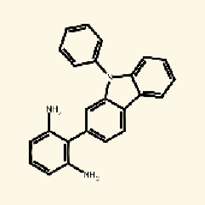 Nc1cccc(N)c1-c1ccc2c3ccccc3n(-c3ccccc3)c2c1